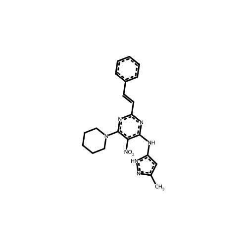 Cc1cc(Nc2nc(/C=C/c3ccccc3)nc(N3CCCCC3)c2[N+](=O)[O-])[nH]n1